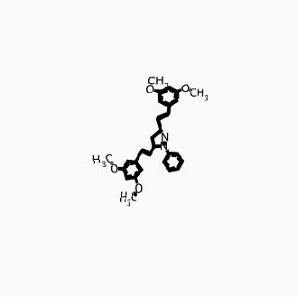 COc1cc(C=CC2=NN(c3ccccc3)C(C=Cc3cc(OC)cc(OC)c3)C2)cc(OC)c1